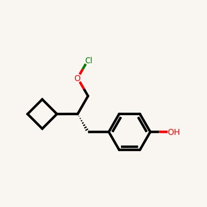 Oc1ccc(C[C@@H](COCl)C2CCC2)cc1